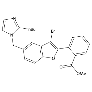 CCCCc1nccn1Cc1ccc2oc(-c3ccccc3C(=O)OC)c(Br)c2c1